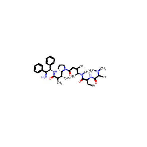 CCC(C)C(C(C)CC(=O)N1CCC[C@H]1[C@H](OC)C(C)C(=O)N[C@@H](c1ccccc1)C(N)c1ccccc1)N(C)C(=O)[C@H](CC(C)C)NC(=O)C(C(C)C)N(C)C